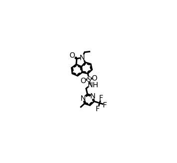 CCN1C(=O)c2cccc3c(S(=O)(=O)NCc4nc(C)cc(C(F)(F)F)n4)ccc1c23